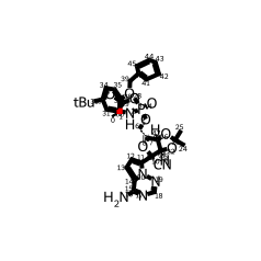 C[C@H](NP(=O)(OC[C@H]1O[C@@](C#N)(c2ccc3c(N)ncnn23)[C@@H]2OC(C)(C)O[C@@H]21)Oc1ccc(C(C)(C)C)cc1)C(=O)OCc1ccccc1